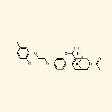 CC(=O)N1CC2CC(c3ccc(OCCOc4cc(C)c(C)cc4Cl)cc3)=C(C(=O)O)[C@@H](C1)N2